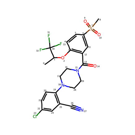 CC(Oc1ccc(S(C)(=O)=O)cc1C(=O)N1CCN(c2ccc(Cl)cc2C#N)CC1)C(F)(F)F